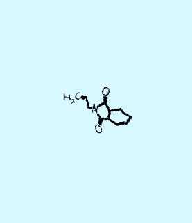 C=CCN1C(=O)C2C=CCCC2C1=O